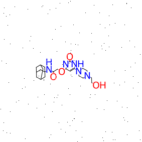 O=C(COc1cc(N2CCN(CCO)CC2)[nH]c(=O)n1)NC12CC3CC(CC(C3)C1)C2